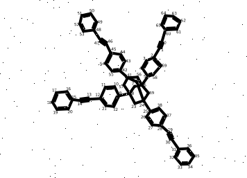 C(#Cc1ccc(C23CC4(c5ccc(C#Cc6ccccc6)cc5)CC(c5ccc(C#Cc6ccccc6)cc5)(C2)CC(c2ccc(C#Cc5ccccc5)cc2)(C3)C4)cc1)c1ccccc1